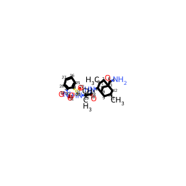 CC1CC2(C(N)=O)CC(C[C@H](C)C2)C1NC(=O)C(C)(C)NS(=O)(=O)c1ccccc1[N+](=O)[O-]